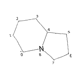 [CH]1CCCC2CCCN12